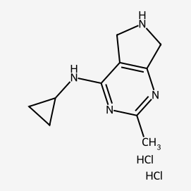 Cc1nc2c(c(NC3CC3)n1)CNC2.Cl.Cl